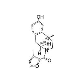 Cc1ccoc1C(=O)N1CC[C@@]2(C)c3cc(O)ccc3C[C@@H]1[C@@H]2C